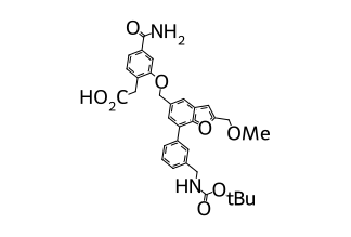 COCc1cc2cc(COc3cc(C(N)=O)ccc3CC(=O)O)cc(-c3cccc(CNC(=O)OC(C)(C)C)c3)c2o1